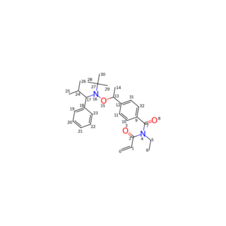 C=CC(=O)N(CC)C(=O)c1ccc(C(C)ON(C(c2ccccc2)C(C)C)C(C)(C)C)cc1